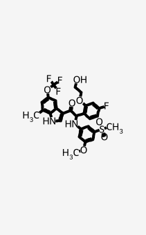 COc1cc(NC(C(=O)c2c[nH]c3c(C)cc(OC(F)(F)F)cc23)c2ccc(F)cc2OCCO)cc(S(C)(=O)=O)c1